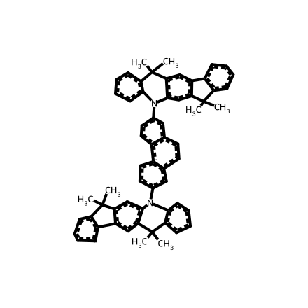 CC1(C)c2ccccc2-c2cc3c(cc21)N(c1ccc2c(ccc4cc(N5c6ccccc6C(C)(C)c6cc7c(cc65)C(C)(C)c5ccccc5-7)ccc42)c1)c1ccccc1C3(C)C